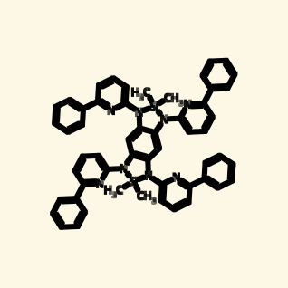 C[Si]1(C)N(c2cccc(-c3ccccc3)n2)c2cc3c(cc2N1c1cccc(-c2ccccc2)n1)N(c1cccc(-c2ccccc2)n1)[Si](C)(C)N3c1cccc(-c2ccccc2)n1